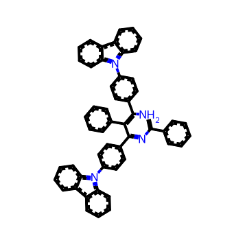 C=C(/N=C(\C(=C(/N)c1ccc(-n2c3ccccc3c3ccccc32)cc1)c1ccccc1)c1ccc(-n2c3ccccc3c3ccccc32)cc1)c1ccccc1